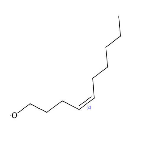 CCCCC/C=C\CCC[O]